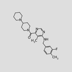 Cc1ccc(CNc2ncnc(C(=O)N3CCC(N4CCCCC4)CC3)c2C)cc1F